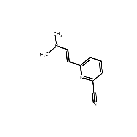 CN(C)/C=C/c1cccc(C#N)n1